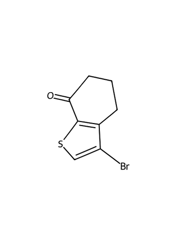 O=C1CCCc2c(Br)csc21